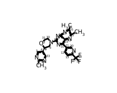 Cc1ncc([C@@H]2CN(c3nc(-c4ccc(C(F)(F)F)nc4)c4nc(C)c(C)nc4n3)CCO2)cn1